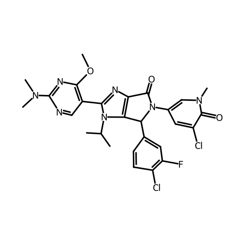 COc1nc(N(C)C)ncc1-c1nc2c(n1C(C)C)C(c1ccc(Cl)c(F)c1)N(c1cc(Cl)c(=O)n(C)c1)C2=O